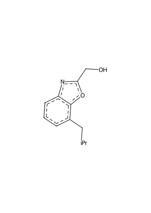 CC(C)Cc1cccc2nc(CO)oc12